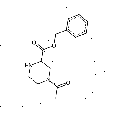 CC(=O)N1CCNC(C(=O)OCc2ccccc2)C1